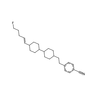 N#Cc1ccc(CCC2CCC(C3CCC(C=CCCCF)CC3)CC2)cc1